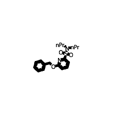 CCCN(CCC)S(=O)(=O)c1cccc(OCc2ccccc2)n1